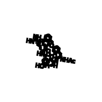 CC(=O)N[C@@H](Cc1ccc(OCc2ccccc2)cc1)C(=O)N[C@@H](CC(C)C)C(=O)N1C[C@H](O)C[C@H]1C(=O)N[C@H](CCCNC(=N)N)C(=O)N1CCCCC1